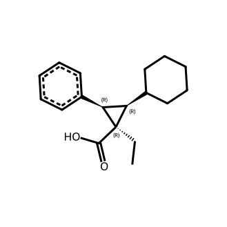 CC[C@@]1(C(=O)O)[C@H](C2CCCCC2)[C@@H]1c1ccccc1